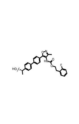 Cc1noc(-c2ccc(-c3ccc([C@@H](C)C(=O)O)cc3)cc2)c1NC(=O)OCCc1ccccc1F